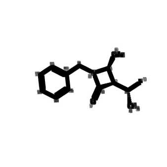 CC(=O)O[C@H]1[C@@H]([C@@H](C)F)C(=O)N1Cc1ccccc1